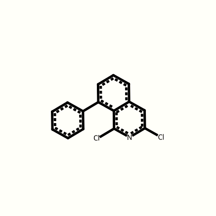 Clc1cc2cccc(-c3ccccc3)c2c(Cl)n1